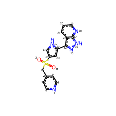 O=S(=O)(Cc1ccncc1)c1c[nH]c(-c2n[nH]c3ncccc23)c1